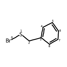 BrSCc1ccccc1